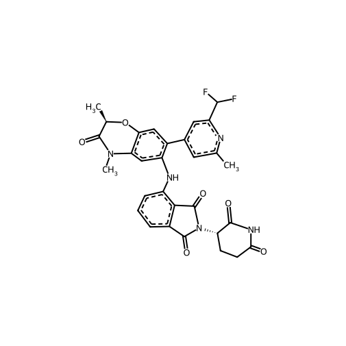 Cc1cc(-c2cc3c(cc2Nc2cccc4c2C(=O)N([C@H]2CCC(=O)NC2=O)C4=O)N(C)C(=O)[C@@H](C)O3)cc(C(F)F)n1